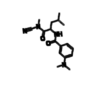 CC(C)CC(NC(=O)c1cccc(N(C)C)c1)C(=O)N(C)C#N